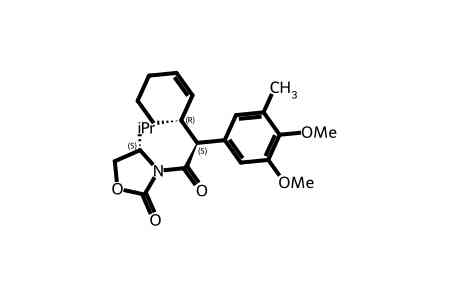 COc1cc([C@@H](C(=O)N2C(=O)OC[C@@H]2C(C)C)[C@H]2C=CCCC2)cc(C)c1OC